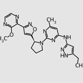 CCc1cc(Nc2cc(C)nc(N3CCC[C@H]3c3cc(-c4nccnc4OC)no3)n2)n[nH]1